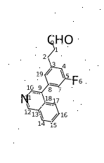 O=CCCc1cc(F)cc(-c2cncc3ccccc23)c1